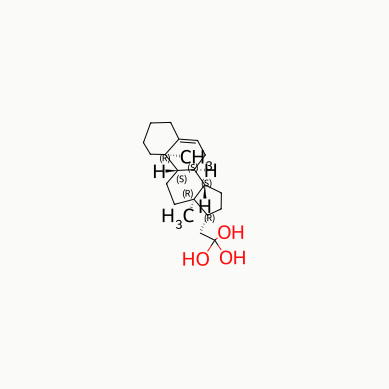 C[C@]12CC[C@H]3[C@@H](CC=C4CCCC[C@@]43C)[C@@H]1CC[C@@H]2CC(O)(O)O